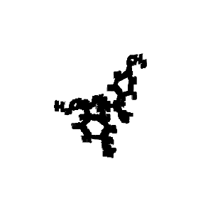 Cc1ccc([S+]([O-])n2nc(C)c3ccc(Br)cc32)cc1